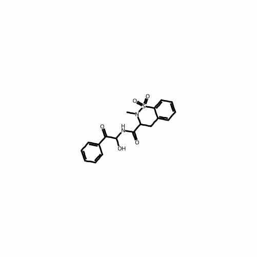 CN1C(C(=O)NC(O)C(=O)c2ccccc2)Cc2ccccc2S1(=O)=O